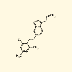 C=CCc1csc2cc(CCc3c(Cl)cc(C)nc3C)ccc12